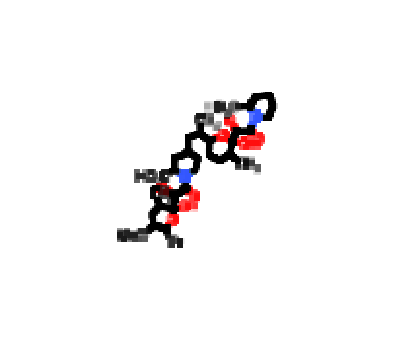 COC1CC(C)C(O)(C(=O)C(=O)N2CCC(CC(C)C3CCC(C)C(O)(C(=O)C(=O)N4CCCCC4C(=O)O)O3)CC2C(=O)O)OC1C(C)C